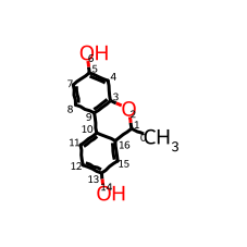 CC1Oc2cc(O)ccc2-c2ccc(O)cc21